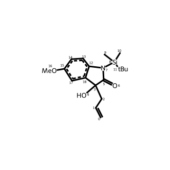 C=CCC1(O)C(=O)N([Si](C)(C)C(C)(C)C)c2ccc(OC)cc21